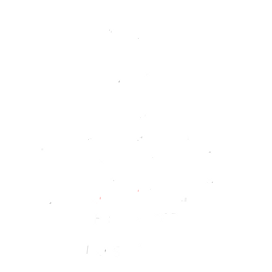 O=C(OC(CS(=O)(=O)O)(C(F)(F)F)C(F)(F)F)c1c(C2CCCCC2)cc(C2CCCCC2)cc1C1CCCCC1